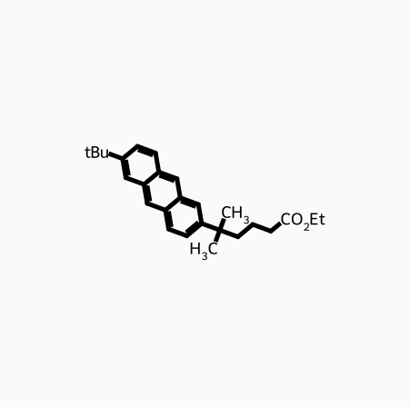 CCOC(=O)CCCC(C)(C)c1ccc2cc3cc(C(C)(C)C)ccc3cc2c1